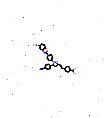 Cc1ccc2oc(-c3ccc(N4N=C(/C=C/c5ccc(C(=O)O)cc5)CC4c4ccc(C#N)cc4)cc3)nc2c1